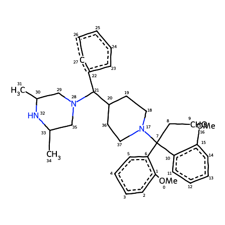 COc1ccccc1C(CC=O)(c1ccccc1OC)N1CCC(C(c2ccccc2)N2CC(C)NC(C)C2)CC1